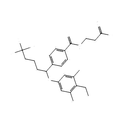 CCc1c(C)cc(OC(CCCC(F)(F)F)c2ccc(C(=O)NCCC(=O)O)cc2)cc1C